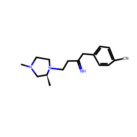 C[C@H]1CN(C)CCN1CCC(=N)Cc1ccc(C#N)cc1